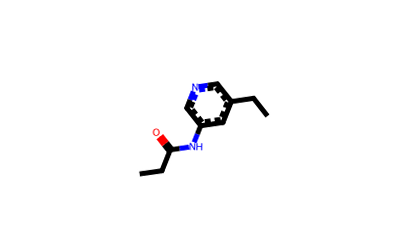 CCC(=O)Nc1cncc(CC)c1